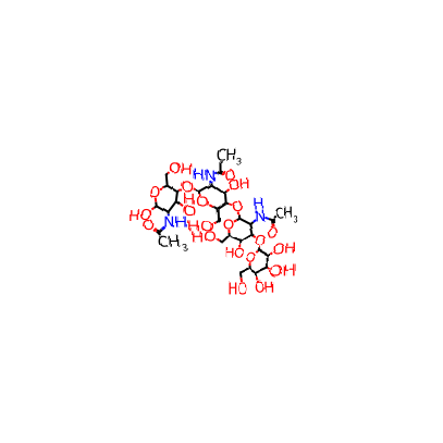 CC(=O)NC1C(O)OC(CO)C(OC2OC(CO)C(OC3OC(CO)C(O)C(OC4OC(CO)C(O)C(O)C4O)C3NC(C)=O)C(O)C2NC(C)=O)C1O